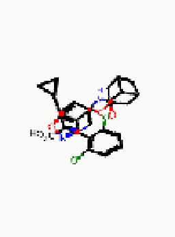 O=C(O)c1ccc(NC(=O)C2C3CC(OCc4c(-c5c(Cl)cccc5Cl)noc4C4CC4)CC2C3)cn1